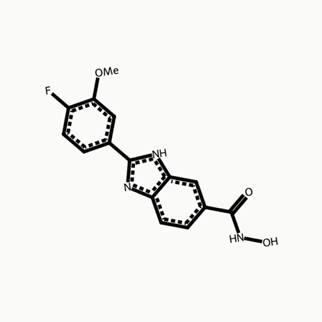 COc1cc(-c2nc3ccc(C(=O)NO)cc3[nH]2)ccc1F